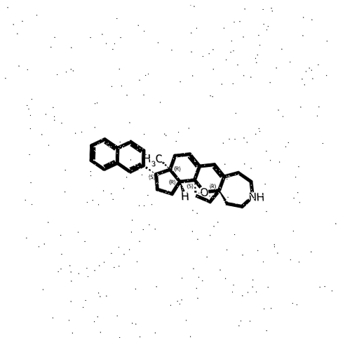 C[C@]12CC=C3C=C4CCNCC[C@]45CC[C@]3(O5)[C@@H]1CC[C@@H]2c1ccc2ccccc2c1